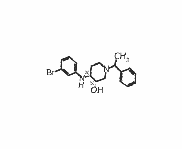 CC(c1ccccc1)N1CC[C@H](Nc2cccc(Br)c2)[C@@H](O)C1